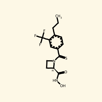 CCCc1ccc(C(=S)N2CC[C@@H]2C(=O)NO)cc1C(F)(F)F